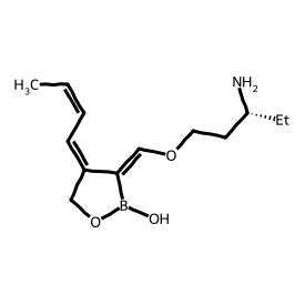 C\C=C/C=C1/COB(O)/C1=C\OCC[C@H](N)CC